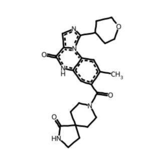 Cc1cc2c(cc1C(=O)N1CCC3(CCNC3=O)CC1)[nH]c(=O)c1cnc(C3CCOCC3)n12